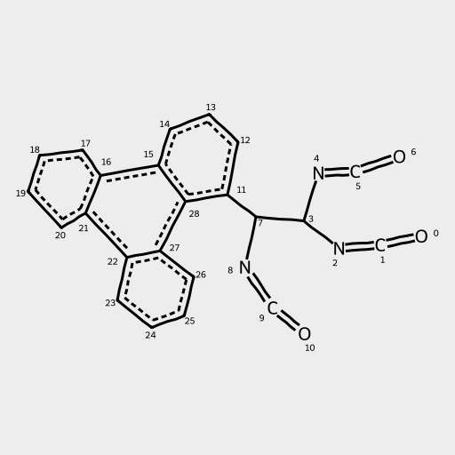 O=C=NC(N=C=O)C(N=C=O)c1cccc2c3ccccc3c3ccccc3c12